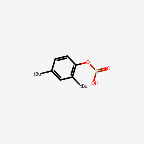 CC(C)(C)c1ccc(OS(=O)O)c(C(C)(C)C)c1